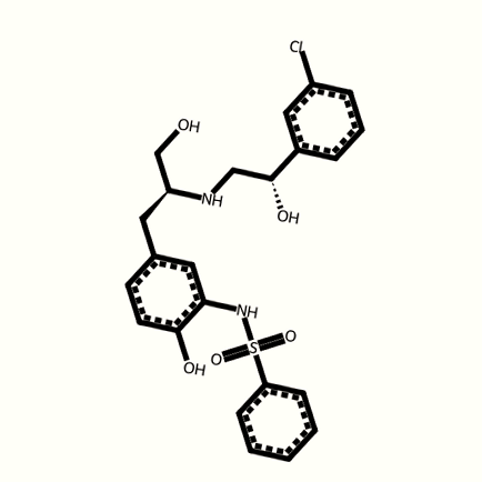 O=S(=O)(Nc1cc(C[C@@H](CO)NC[C@@H](O)c2cccc(Cl)c2)ccc1O)c1ccccc1